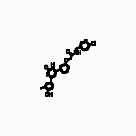 Cc1cc(-c2cc(-c3cccc(OCC(=O)NCc4ccc(Cl)nc4)c3)[nH]c(=O)n2)ccc1O